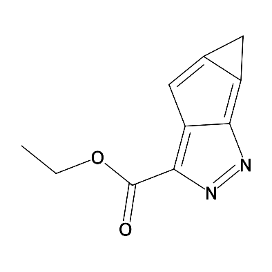 CCOC(=O)C1=C2C=C3CC3=C2N=N1